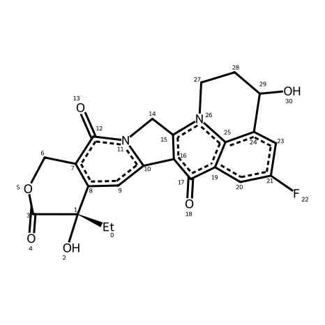 CC[C@@]1(O)C(=O)OCc2c1cc1n(c2=O)Cc2c-1c(=O)c1cc(F)cc3c1n2CCC3O